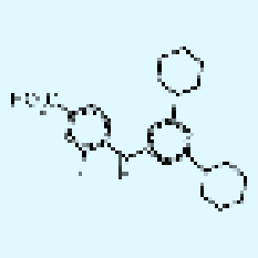 Cc1cc(C(=O)O)ccc1Nc1cc(C2CCCCC2)cc(C2CCCCC2)c1